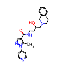 Cc1c(C(=O)NCCC(O)CN2CCc3ccccc3C2)cnn1-c1ccncc1